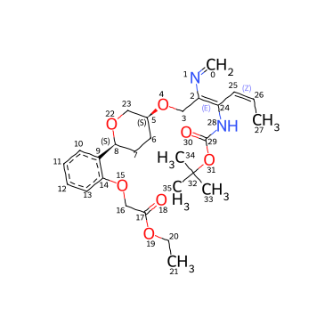 C=N/C(CO[C@H]1CC[C@@H](c2ccccc2OCC(=O)OCC)OC1)=C(\C=C/C)NC(=O)OC(C)(C)C